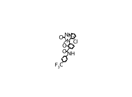 NC(=O)[C@@H]1COc2c(C(=O)Nc3ccc(C(F)(F)F)cc3)cccc2N1c1ncccc1Cl